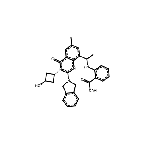 COC(=O)c1ccccc1NC(C)c1cc(C)cc2c(=O)n([C@H]3C[C@H](O)C3)c(N3Cc4ccccc4C3)nc12